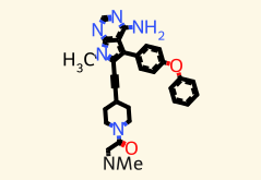 CNCC(=O)N1CCC(C#Cc2c(-c3ccc(Oc4ccccc4)cc3)c3c(N)ncnc3n2C)CC1